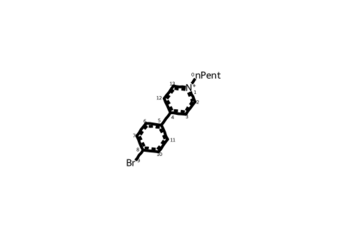 CCCCC[n+]1ccc(-c2ccc(Br)cc2)cc1